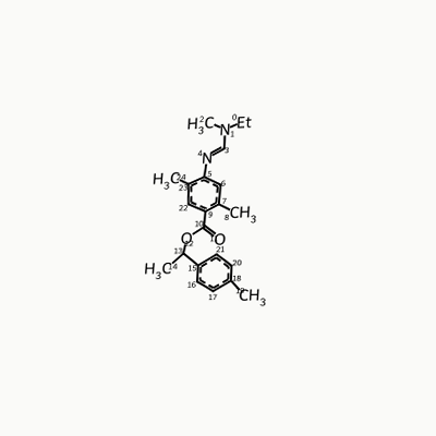 CCN(C)/C=N/c1cc(C)c(C(=O)OC(C)c2ccc(C)cc2)cc1C